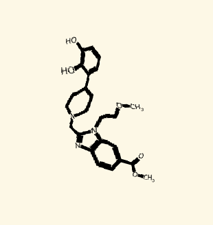 COCCn1c(CN2CCC(c3cccc(O)c3O)CC2)nc2ccc(C(=O)OC)cc21